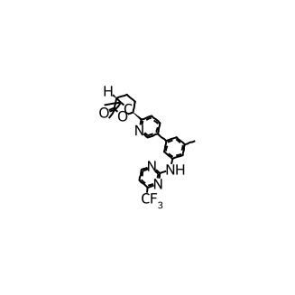 Cc1cc(Nc2nccc(C(F)(F)F)n2)cc(-c2ccc([C@@]34CC[C@@H](C(=O)O3)C(C)(C)C4)nc2)c1